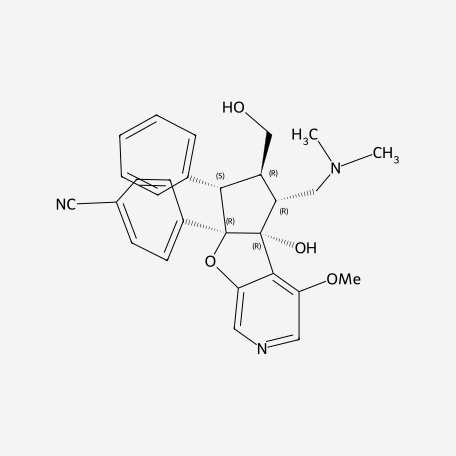 COc1cncc2c1[C@]1(O)[C@@H](CN(C)C)[C@H](CO)[C@@H](c3ccccc3)[C@]1(c1ccc(C#N)cc1)O2